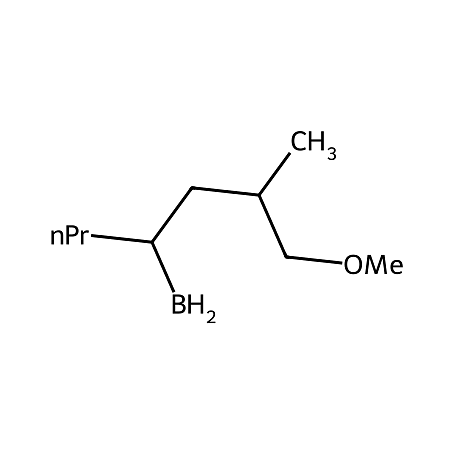 BC(CCC)CC(C)COC